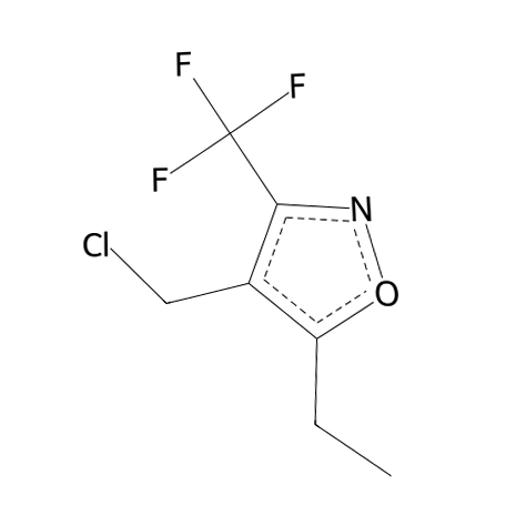 CCc1onc(C(F)(F)F)c1CCl